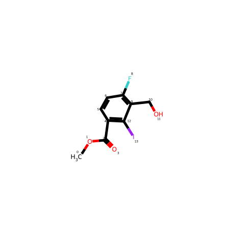 COC(=O)c1ccc(F)c(CO)c1I